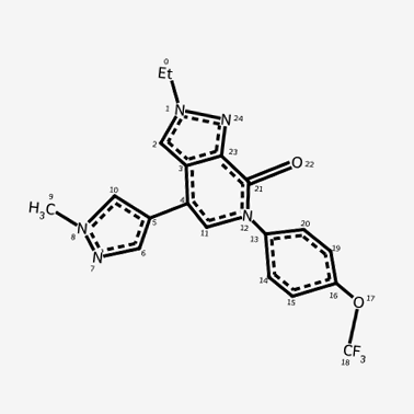 CCn1cc2c(-c3cnn(C)c3)cn(-c3ccc(OC(F)(F)F)cc3)c(=O)c2n1